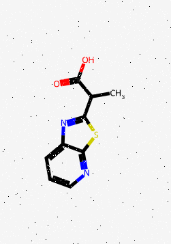 CC(C(=O)O)c1nc2cccnc2s1